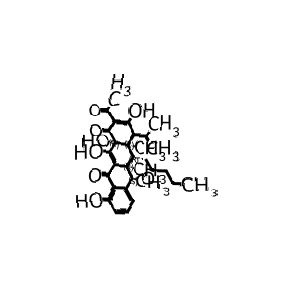 CCCC(=O)C[C@@H]1[C@]2(C)C(=C(O)[C@@]3(O)C(=O)C(C(C)=O)=C(O)C(C(C)C)[C@@]13C)C(=O)c1c(O)cccc1[C@H]2C